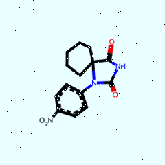 O=C1NC(=O)C2(CCCCC2)N1c1ccc([N+](=O)[O-])cc1